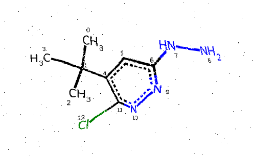 CC(C)(C)c1cc(NN)nnc1Cl